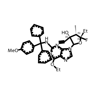 C#C[C@]1(O)C(n2cnc3c(OCC)nc(NC(c4ccccc4)(c4ccccc4)c4ccc(OC)cc4)nc32)O[C@](F)(CC)[C@H]1C